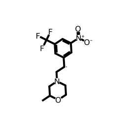 CC1CN(C[CH]c2cc([N+](=O)[O-])cc(C(F)(F)F)c2)CCO1